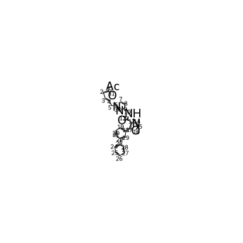 CC(=O)c1ccc(Cn2ccc(NC(=O)c3ncoc3-c3cccc(-c4ccccc4)c3)n2)o1